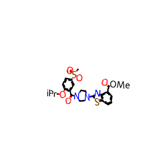 COC(=O)c1cccc2sc(N3CCN(C(=O)c4cc(S(C)(=O)=O)ccc4OC(C)C)CC3)nc12